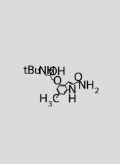 Cc1cc(OCC(O)CNC(C)(C)C)c2cc(C(N)=O)[nH]c2c1